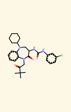 CC(C)(C)C(=O)CN1C(=O)C(NC(=O)Nc2cccc(Cl)c2)CN(C2CCCCC2)c2ccccc21